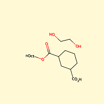 CCCCCCCCOC(=O)C1CCCC(C(=O)O)C1.OCCO